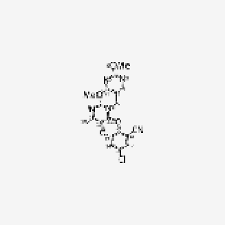 COc1ncc(Cn2cnc(C)c(Oc3cc(Cl)cc(C#N)c3)c2=O)c(OC)n1